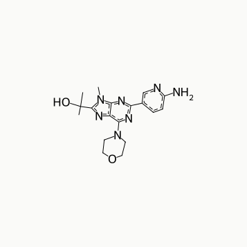 Cn1c(C(C)(C)O)nc2c(N3CCOCC3)nc(-c3ccc(N)nc3)nc21